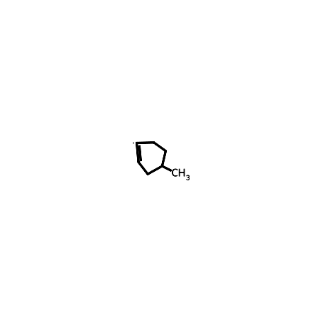 CC1CC=[C]CC1